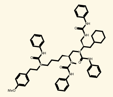 COc1ccc(CCN(CCCC[C@@H](CN(C(=O)Nc2ccccc2)[C@@H](CNC(=O)Nc2ccccc2)CC2CCCCC2)N(C)C(=O)Nc2ccccc2)C(=O)Nc2ccccc2)cc1